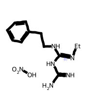 CC/N=C(\NCCc1ccccc1)NC(=N)N.O=[N+]([O-])O